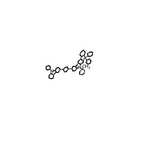 CC1(n2c3ccc(-c4ccc(-c5ccc6c(c5)c5ccccc5n6-c5ccccc5)cc4)cc3c3cc4c(cc32)C(c2ccccc2)(c2ccccc2)c2ccccc2-4)C=CC=CC1